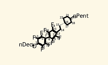 CCCCCCCCCCOc1c(F)c(F)c(-c2c(F)c(F)c(CC[C@H]3CC[C@H](CCCCC)CC3)c(F)c2F)c(F)c1F